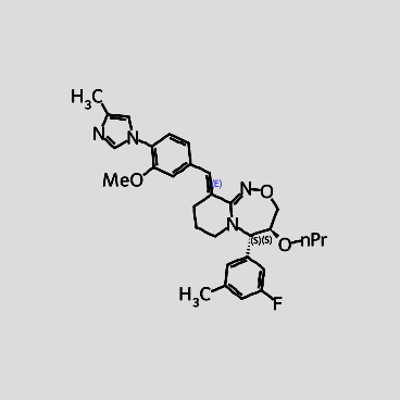 CCCO[C@@H]1CON=C2/C(=C/c3ccc(-n4cnc(C)c4)c(OC)c3)CCCN2[C@H]1c1cc(C)cc(F)c1